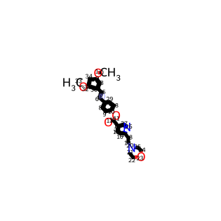 COc1cc(/C=C/c2ccc(OC(=O)c3ccc(CCN4CCOCC4)nc3)cc2)cc(OC)c1